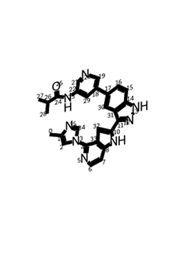 Cc1cn(-c2nccc3[nH]c(-c4n[nH]c5ccc(-c6cncc(NC(=O)C(C)C)c6)cc45)cc23)cn1